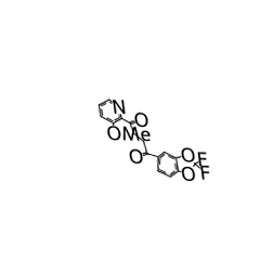 COc1cccnc1C(=O)CCC(=O)c1ccc2c(c1)OC(F)(F)O2